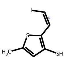 Cc1cc(S)c(/C=C\I)s1